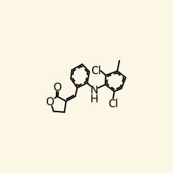 Cc1ccc(Cl)c(Nc2ccccc2C=C2CCOC2=O)c1Cl